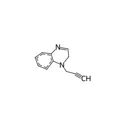 C#CCN1CC=Nc2ccccc21